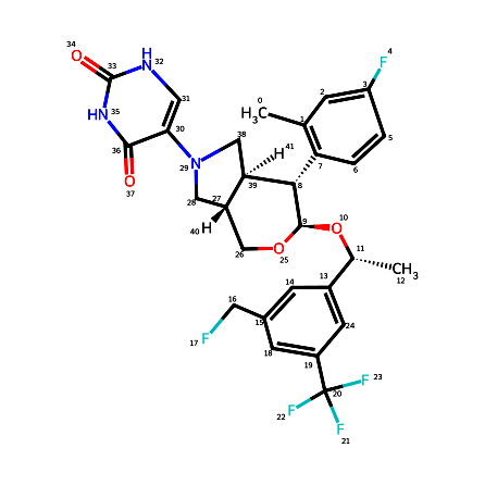 Cc1cc(F)ccc1[C@@H]1[C@@H](O[C@H](C)c2cc(CF)cc(C(F)(F)F)c2)OC[C@@H]2CN(c3c[nH]c(=O)[nH]c3=O)C[C@H]21